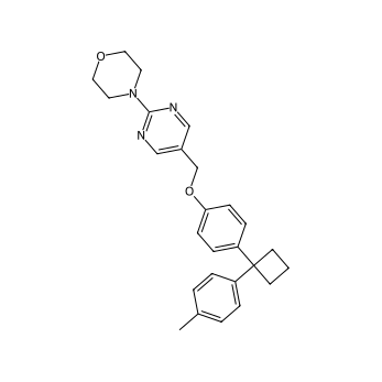 Cc1ccc(C2(c3ccc(OCc4cnc(N5CCOCC5)nc4)cc3)CCC2)cc1